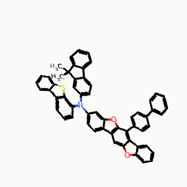 CC1(C)c2ccccc2-c2ccc(N(c3ccc4c(c3)oc3c(-c5ccc(-c6ccccc6)cc5)c5c(cc34)oc3ccccc35)c3cccc4c3sc3ccccc34)cc21